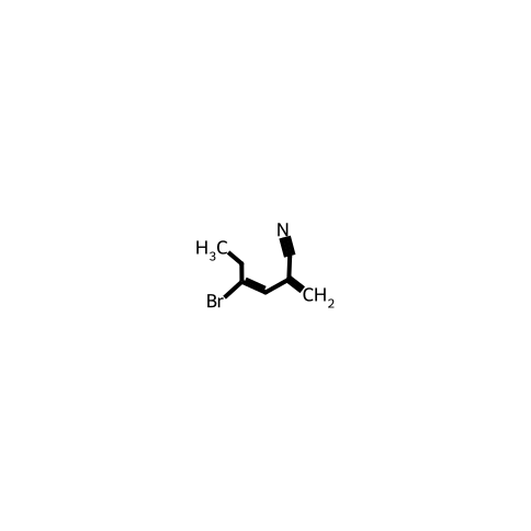 C=C(C#N)/C=C(/Br)CC